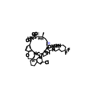 CO[C@]1(CN2CCN3CCC(F)(F)CC3C2)/C=C/C[C@H](C)[C@@H](C)S(=O)(=O)NC(=O)c2ccc3c(c2)N(C[C@@H]2CC[C@H]21)C[C@@]1(CCCc2cc(Cl)ccc21)CO3